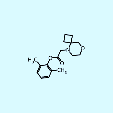 Cc1cccc(C)c1OC(=O)CN1CCOCC12CCC2